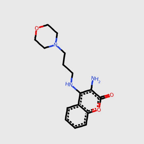 Nc1c(NCCCN2CCOCC2)c2ccccc2oc1=O